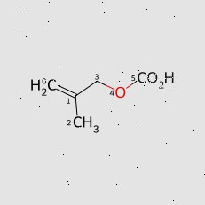 C=C(C)COC(=O)O